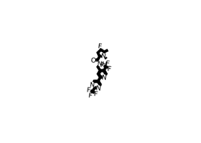 CC1[C@H](F)CC(C(=O)NCc2cc(-c3cnc(C(F)(F)F)nc3)ncc2C(F)(F)F)N1C